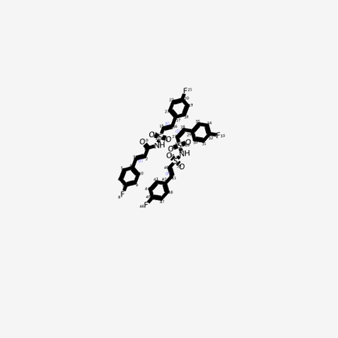 O=C(/C=C/c1ccc(F)cc1)NS(=O)(=O)/C=C/c1ccc(F)cc1.O=S(=O)(/C=C\c1ccc(F)cc1)NS(=O)(=O)/C=C/c1ccc(F)cc1